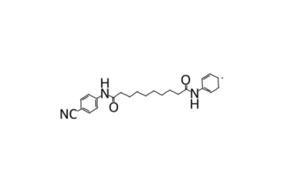 N#Cc1ccc(NC(=O)CCCCCCCCC(=O)NC2=CC[CH]C=C2)cc1